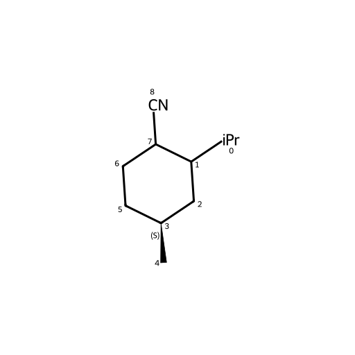 CC(C)C1C[C@@H](C)CCC1C#N